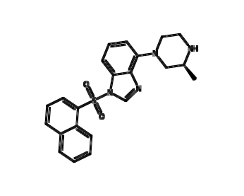 C[C@H]1CN(c2cccc3c2ncn3S(=O)(=O)c2cccc3ccccc23)CCN1